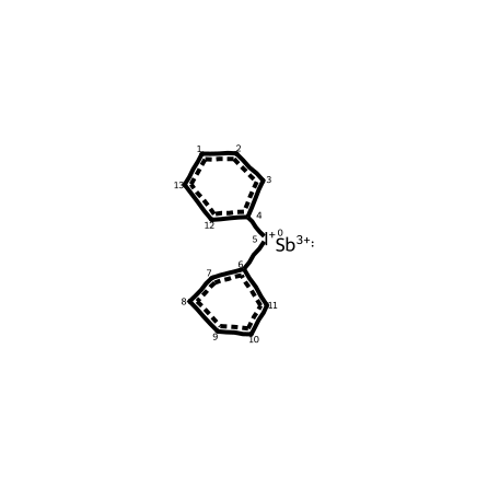 [Sb+3].c1ccc([I+]c2ccccc2)cc1